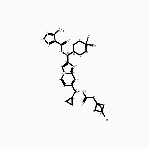 Cc1nonc1C(=O)N[C@H](c1cn2ccc([C@H](NC(=O)CC34CC(F)(C3)C4)C3CC3)nc2n1)C1CCC(F)(F)CC1